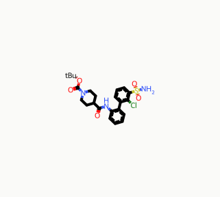 CC(C)(C)OC(=O)N1CCC(C(=O)Nc2ccccc2-c2cccc(S(N)(=O)=O)c2Cl)CC1